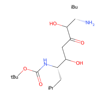 CC[C@H](C)[C@H](N)C(O)C(=O)CC(O)[C@H](CC(C)C)NC(=O)OC(C)(C)C